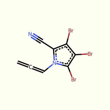 C=C=Cn1c(Br)c(Br)c(Br)c1C#N